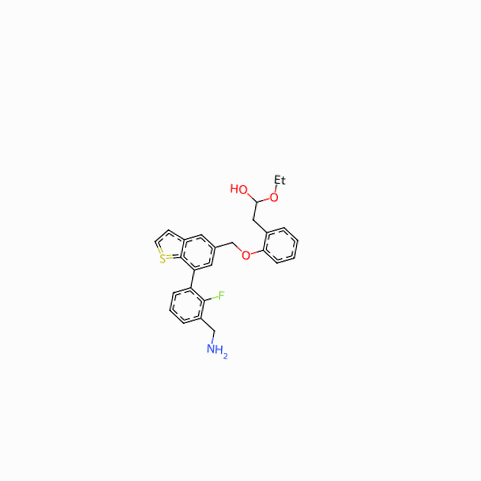 CCOC(O)Cc1ccccc1OCc1cc(-c2cccc(CN)c2F)c2sccc2c1